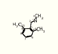 C=NCc1c(C)cccc1C